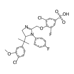 COc1cc(C(C)(C)C2CN=C(COc3c(F)cc(S(=O)(=O)O)cc3Cl)N2c2ccc(F)cc2)ccc1Cl